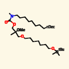 CCCCCCCCCCCCCCCCCCN(C)C(=O)OCC(C)(COCCCCCCCO[Si](C)(C)C(C)(C)C)OC